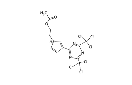 CC(=O)OCC[SH]1C=CC(c2nc(C(Cl)(Cl)Cl)nc(C(Cl)(Cl)Cl)n2)=C1